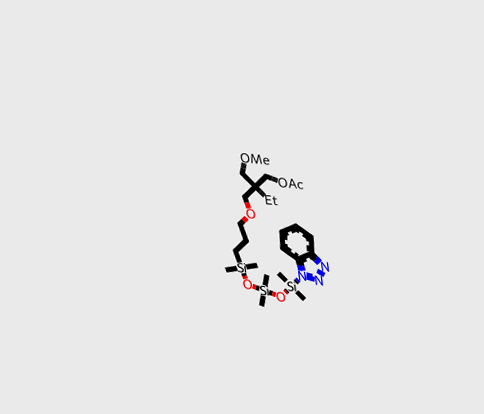 CCC(COC)(COCCC[Si](C)(C)O[Si](C)(C)O[Si](C)(C)n1nnc2ccccc21)COC(C)=O